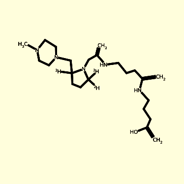 [2H]C1([2H])CCC([2H])(CN2CCN(C)CC2)N1CC(=C)NCCCC(=C)NCCCC(=C)O